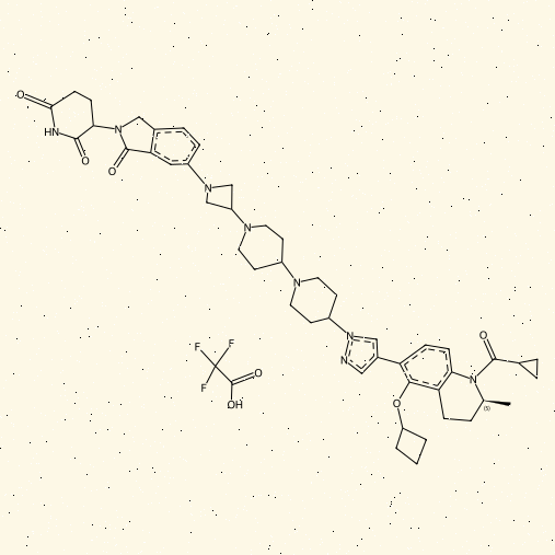 C[C@H]1CCc2c(ccc(-c3cnn(C4CCN(C5CCN(C6CN(c7ccc8c(c7)C(=O)N(C7CCC(=O)NC7=O)C8)C6)CC5)CC4)c3)c2OC2CCC2)N1C(=O)C1CC1.O=C(O)C(F)(F)F